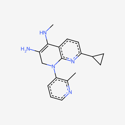 CNC1=C(N)CN(c2cccnc2C)c2nc(C3CC3)ccc21